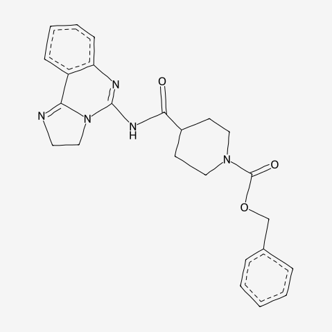 O=C(NC1=Nc2ccccc2C2=NCCN12)C1CCN(C(=O)OCc2ccccc2)CC1